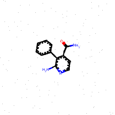 NC(=O)c1ccnc(N)c1-c1ccccc1